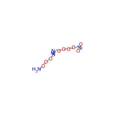 NCCOCCOCCOCCn1cc(COCCOCCOCCOCCN2C(=O)C=CC2=O)nn1